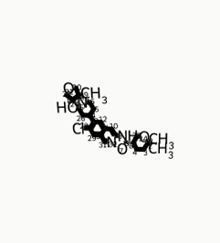 CC1(C)CC[C@H](C(=O)Nc2cc3cc(C4CCN([C@]5(C)COC[C@@H]5O)CC4)c(Cl)cc3cn2)CO1